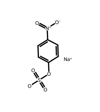 O=[N+]([O-])c1ccc(OS(=O)(=O)[O-])cc1.[Na+]